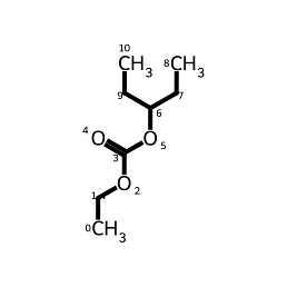 C[CH]OC(=O)OC(CC)CC